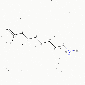 C=C(C)CCCCCCCNC